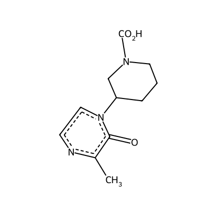 Cc1nccn(C2CCCN(C(=O)O)C2)c1=O